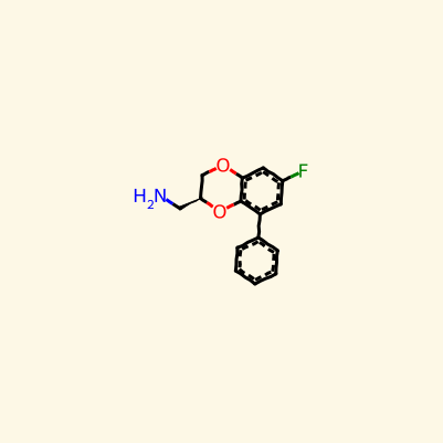 NC[C@H]1COc2cc(F)cc(-c3ccccc3)c2O1